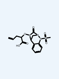 C=CCC(ON1C(=O)N2CC1c1ccccc1N2S(C)(=O)=O)C(=O)O